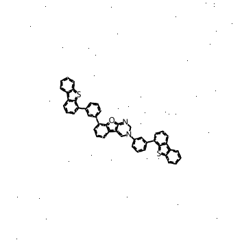 C1=c2c(oc3c(-c4cccc(-c5cccc6c5sc5ccccc56)c4)cccc23)=NCN1c1cccc(-c2cccc3c2sc2ccccc23)c1